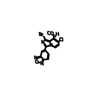 O=C(O)c1c(Cl)ccn2c(-c3ccc4nonc4c3)nc(Br)c12